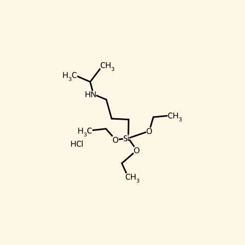 CCO[Si](CCCNC(C)C)(OCC)OCC.Cl